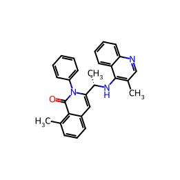 Cc1cnc2ccccc2c1N[C@@H](C)c1cc2cccc(C)c2c(=O)n1-c1ccccc1